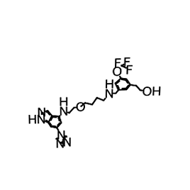 OCCc1cc(CNCCCCOCCNc2cc(-n3cnnc3)cc3[nH]ncc23)cc(OC(F)(F)F)c1